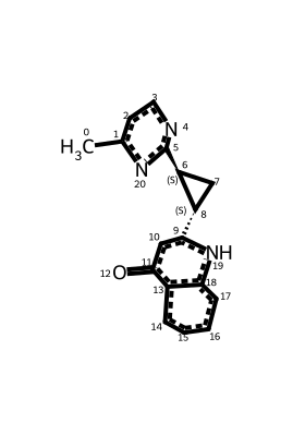 Cc1ccnc([C@H]2C[C@@H]2c2cc(=O)c3ccccc3[nH]2)n1